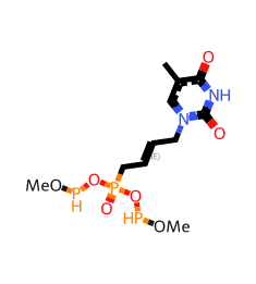 COPOP(=O)(C/C=C/Cn1cc(C)c(=O)[nH]c1=O)OPOC